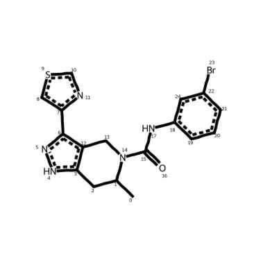 CC1Cc2[nH]nc(-c3cscn3)c2CN1C(=O)Nc1cccc(Br)c1